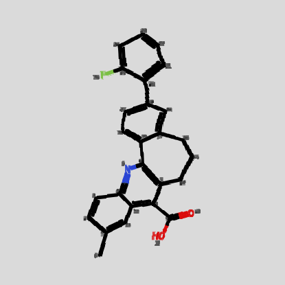 Cc1ccc2nc3c(c(C(=O)O)c2c1)CCCc1cc(-c2ccccc2F)ccc1-3